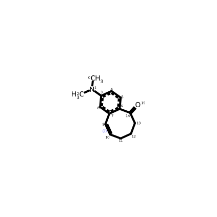 CN(C)c1ccc2c(c1)/C=C\CCCC2=O